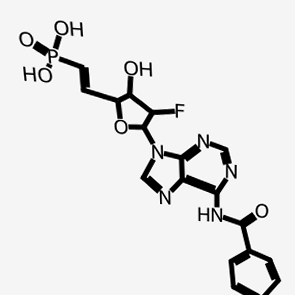 O=C(Nc1ncnc2c1ncn2C1OC(/C=C/P(=O)(O)O)C(O)C1F)c1ccccc1